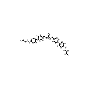 CCCCCC1CCC(c2ccc(CCC(=O)CCc3ccc([C@H]4CC[C@H](CCCCC)CC4)cc3)cc2)CC1